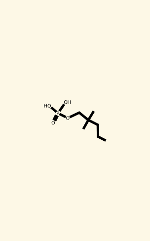 CCCC(C)(C)COP(=O)(O)O